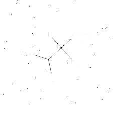 CCOC(=O)C(F)(F)C(CC)OC(C)=O